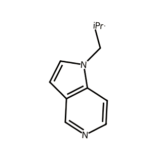 C[C](C)Cn1ccc2cnccc21